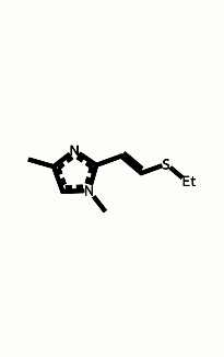 CCSC=Cc1nc(C)cn1C